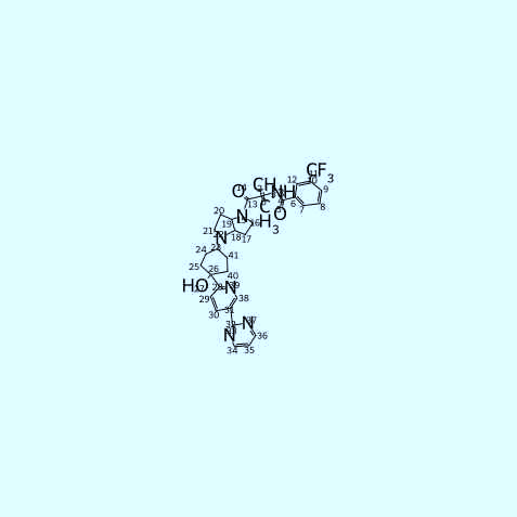 CC(C)(NC(=O)c1cccc(C(F)(F)F)c1)C(=O)N1CCC2C1CCN2C1CCC(O)(c2ccc(-c3ncccn3)cn2)CC1